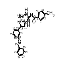 Cc1ccc(C(=O)/N=C(\Nc2cc(-c3cccc(OCc4ccccc4)c3)n[nH]2)NC(C)(C)C)cc1